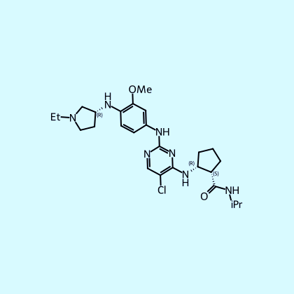 CCN1CC[C@@H](Nc2ccc(Nc3ncc(Cl)c(N[C@@H]4CCC[C@@H]4C(=O)NC(C)C)n3)cc2OC)C1